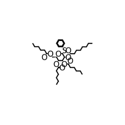 CCCCCCCC(=O)O[C@H]1[C@@H](OC(=O)CCCCC)[C@H](OC(=O)CCCCC)[C@@H](COC(=O)CCCCC)O[C@@H]1Sc1ccccc1